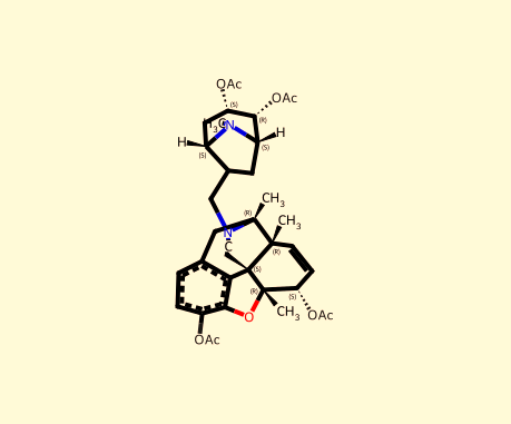 CC(=O)Oc1ccc2c3c1O[C@@]1(C)[C@@H](OC(C)=O)C=C[C@]4(C)[C@@]31CCN(CC1C[C@H]3[C@@H](OC(C)=O)[C@@H](OC(C)=O)C[C@@H]1N3C)[C@]4(C)C2